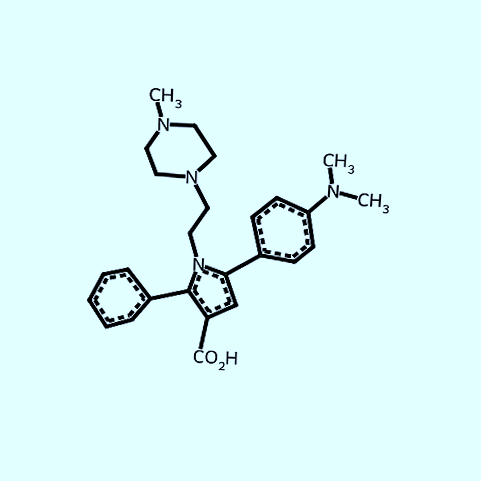 CN1CCN(CCn2c(-c3ccc(N(C)C)cc3)cc(C(=O)O)c2-c2ccccc2)CC1